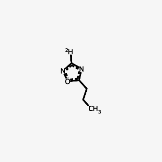 [2H]c1noc(CCC)n1